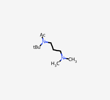 CC(=O)N(CCCN(C)C)C(C)(C)C